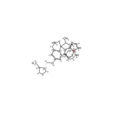 CC(C)C1(c2cccc3[nH]ncc23)CNCc2nc(OC[C@@H]3CCCN3C)nc(N3CCNCC3)c21